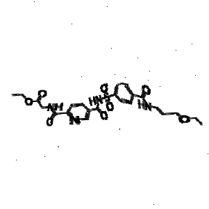 CCOCCCNC(=O)c1ccc(S(=O)(=O)NC(=O)c2ccc(C(=O)NCC(=O)OCC)nc2)cc1